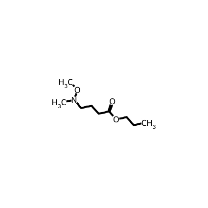 CCCOC(=O)CCCN(C)OC